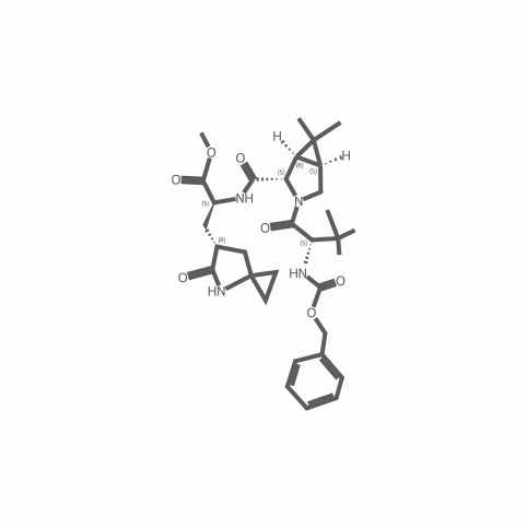 COC(=O)[C@H](C[C@@H]1CC2(CC2)NC1=O)NC(=O)[C@@H]1[C@@H]2[C@H](CN1C(=O)[C@@H](NC(=O)OCc1ccccc1)C(C)(C)C)C2(C)C